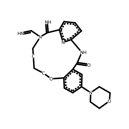 N=CN1CCCCOc2ccc(N3CCOCC3)cc2C(=O)Nc2cccc(n2)C1=N